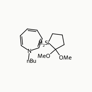 CCCCN1C=CC=CC=C1.COC1(OC)CCC[SiH2]1